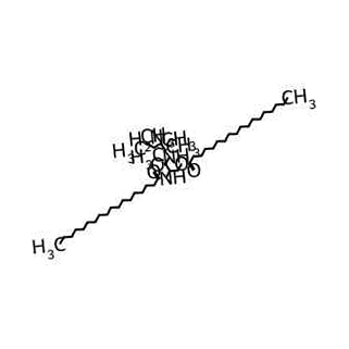 CCCCCCCCCCCCCCCCCC(=O)NC(COC(=O)CCCCCCCCCCCCCCCCC)C(=O)NC(C)(C)C(C)(N)CC(C)C